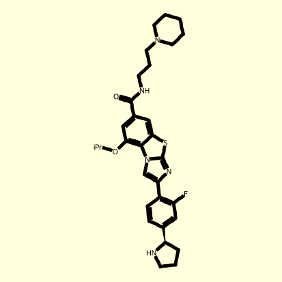 CC(C)Oc1cc(C(=O)NCCCN2CCCCC2)cc2sc3nc(-c4ccc([C@H]5CCCN5)cc4F)cn3c12